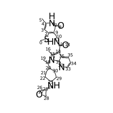 CSc1cc(C)[nH]c(=O)c1CNC(=O)c1c(C)n(C(C)C2CCC(NC3COC3)CC2)c2ncccc12